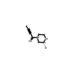 CC#CC(=O)N1CCO[C@H](C)C1